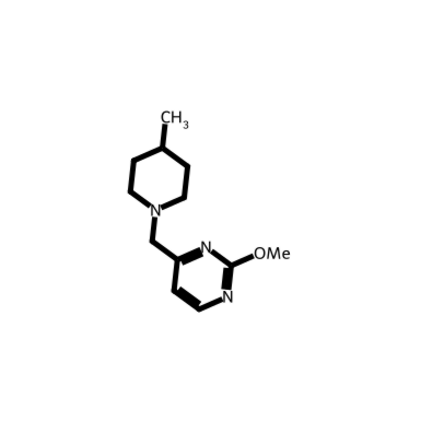 COc1nccc(CN2CCC(C)CC2)n1